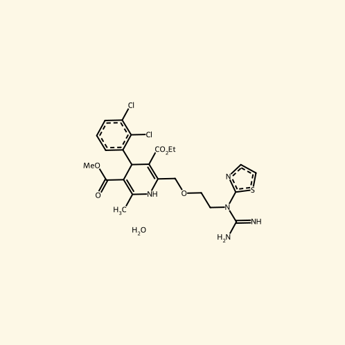 CCOC(=O)C1=C(COCCN(C(=N)N)c2nccs2)NC(C)=C(C(=O)OC)C1c1cccc(Cl)c1Cl.O